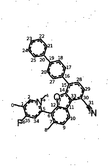 Cc1c[n+](C)c(-c2c(C)ccc3c2oc2c(-c4ccc(-c5ccccc5)cc4)ccc(C#N)c23)cc1F